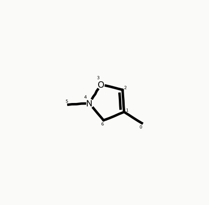 CC1=CON(C)[CH]1